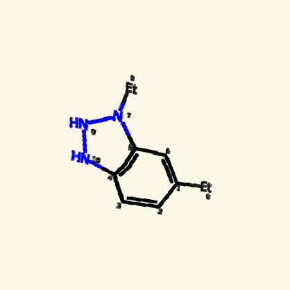 CCc1ccc2c(c1)N(CC)NN2